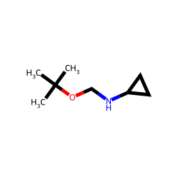 CC(C)(C)OCNC1CC1